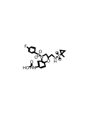 CC1(S(=O)(=O)NCC2CN(S(=O)(=O)c3ccc(F)cc3)c3cc(NC(=O)O)ccc3O2)CC1